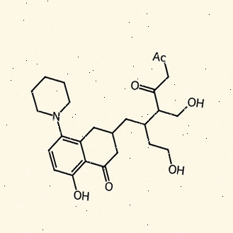 CC(=O)CC(=O)C(CO)C(CCO)CC1CC(=O)c2c(O)ccc(N3CCCCC3)c2C1